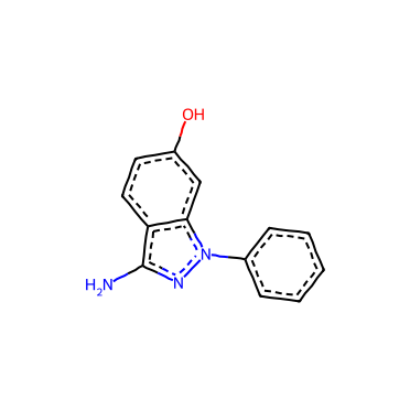 Nc1nn(-c2ccccc2)c2cc(O)ccc12